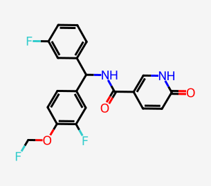 O=C(NC(c1cccc(F)c1)c1ccc(OCF)c(F)c1)c1ccc(=O)[nH]c1